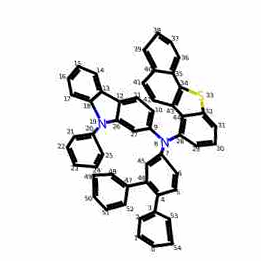 c1ccc(-c2ccc(N(c3ccc4c5ccccc5n(-c5ccccc5)c4c3)c3cccc4sc5c6ccccc6ccc5c34)cc2-c2ccccc2)cc1